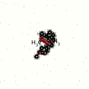 Cc1cc2c(cc1Cc1ccc3c(c1)C1(c4nc(-c5cccc(-c6ccc(-c7ccccc7)cc6)c5)c5c(n4)sc4ccc6ccccc6c45)c4ccccc4C3(C)c3ccccc31)C1(c3nc(-c4ccccc4)c4c(n3)sc3c5ccccc5c5ccccc5c34)c3ccccc3C2c2ccccc21